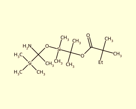 CCC(C)(C)C(=O)OC(C)(C)[Si](C)(C)OC(C)(N)[Si](C)(C)C